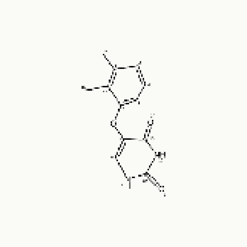 Cc1cccc(Oc2c[nH]c(=O)[nH]c2=O)c1C